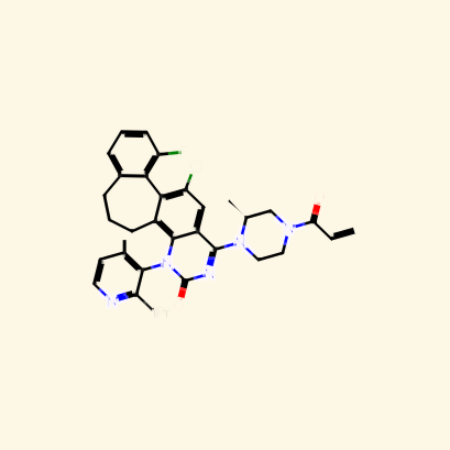 C=CC(=O)N1CCN(c2nc(=O)n(-c3c(C)ccnc3C(C)C)c3c4c(c(Cl)cc23)-c2c(F)cccc2CCC4)[C@@H](C)C1